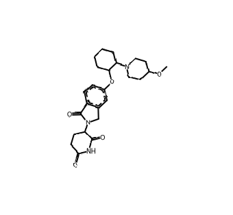 COC1CCN(C2CCCCC2Oc2ccc3c(c2)CN(C2CCC(=O)NC2=O)C3=O)CC1